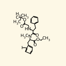 CCOC(=O)C(Cc1ccccc1I)N(C)C(=O)C(Cc1ccccc1)NCC(=O)OC(C)(C)C